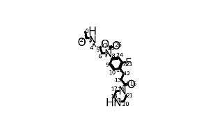 CC(=O)NC[C@H]1CN(c2ccc(CCC(=O)N3CCNCC3)c(F)c2)C(=O)O1